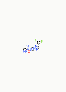 O=C(Nc1cccnn1)N1CCN(c2nccc(-c3cc(F)cc(F)c3)n2)CC1